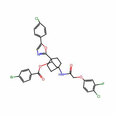 O=C(COc1ccc(Cl)c(F)c1)NC12CCC(c3ncc(-c4ccc(Cl)cc4)o3)(CC1)C(OC(=O)c1ccc(Br)cc1)C2